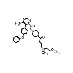 COCCN(C)C/C=C/C(=O)N1CCC(CNc2ncnc(N)c2-c2ccc(Oc3ccccc3)cc2)CC1